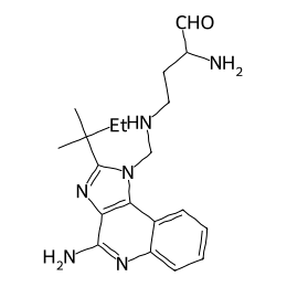 CCC(C)(C)c1nc2c(N)nc3ccccc3c2n1CNCCC(N)C=O